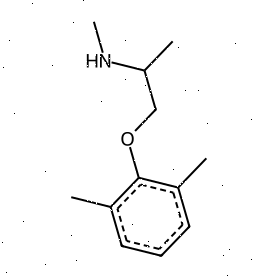 CNC(C)COc1c(C)cccc1C